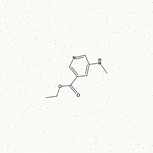 CCOC(=O)c1cncc(NC)c1